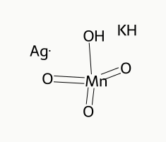 [Ag].[KH].[O]=[Mn](=[O])(=[O])[OH]